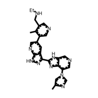 CCNCc1cncc(-c2cnc3[nH]nc(-c4nc5c(-n6cnc(C)c6)cncc5[nH]4)c3c2)c1C